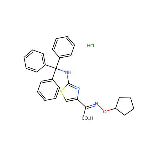 Cl.O=C(O)/C(=N\OC1CCCC1)c1csc(NC(c2ccccc2)(c2ccccc2)c2ccccc2)n1